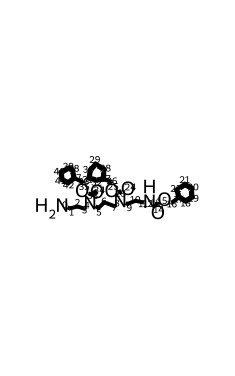 NCCCN(CCCN(CCCNC(=O)OCc1ccccc1)C(=O)OCc1ccccc1)C(=O)OCc1ccccc1